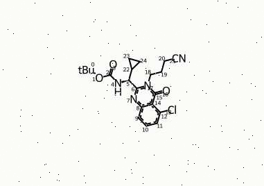 CC(C)(C)OC(=O)N[C@H](c1nc2cccc(Cl)c2c(=O)n1CCCC#N)C1CC1